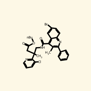 CCCCOC(=O)CC(C)(CNC(=O)c1c(C)c(-c2ccccc2)nc2ccc(Br)cc12)c1ncccc1Cl